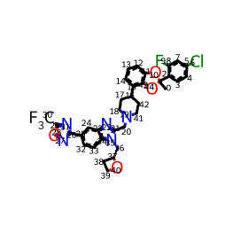 CC1(c2ccc(Cl)cc2F)Oc2cccc(C3CCN(Cc4nc5cc(-c6noc(C(F)(F)F)n6)ccc5n4C[C@@H]4CCO4)CC3)c2O1